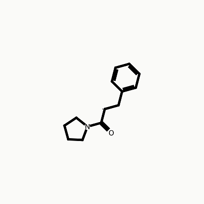 O=C([CH]Cc1ccccc1)N1CCCC1